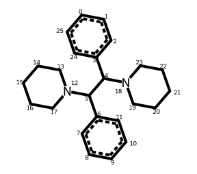 c1ccc(C(C(c2ccccc2)N2CCCCC2)N2CCCCC2)cc1